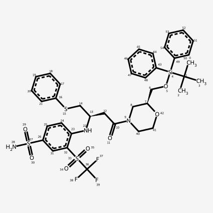 CC(C)(C)[Si](OC[C@@H]1CN(C(=O)C[C@H](CSc2ccccc2)Nc2ccc(S(N)(=O)=O)cc2S(=O)(=O)C(F)(F)F)CCO1)(c1ccccc1)c1ccccc1